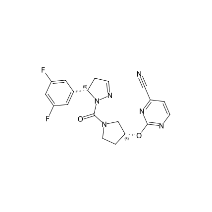 N#Cc1ccnc(O[C@@H]2CCN(C(=O)N3N=CC[C@H]3c3cc(F)cc(F)c3)C2)n1